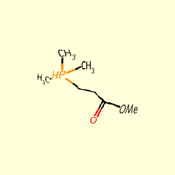 COC(=O)CC[PH](C)(C)C